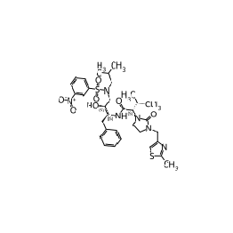 Cc1nc(CN2CCN([C@H](C(=O)N[C@@H](Cc3ccccc3)[C@@H](O)CN(CC(C)C)S(=O)(=O)c3cccc([N+](=O)[O-])c3)C(C)C)C2=O)cs1